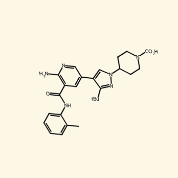 Cc1ccccc1NC(=O)c1cc(-c2cn(C3CCN(C(=O)O)CC3)nc2C(C)(C)C)cnc1N